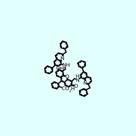 O=C(O)c1ccccc1-c1c2ccc(=O)c(CNc3cc(-c4ccccc4)cc4ccc(Cc5ccccc5)nc34)c-2oc2c(CNc3cc(-c4ccccc4)cc4ccc(Cc5ccccc5)nc34)c(O)ccc12